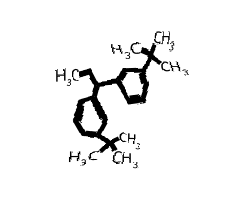 CCC(c1cccc(C(C)(C)C)c1)c1cccc(C(C)(C)C)c1